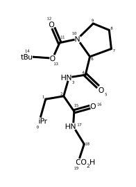 CC(C)CC(NC(=O)C1CCCN1C(=O)OC(C)(C)C)C(=O)NCC(=O)O